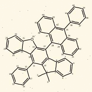 CC1(C)c2ccccc2-c2c1c(-c1ccccc1)c1c(oc3ccccc31)c2-c1c2ccccc2c(-c2ccccc2)c2ccccc12